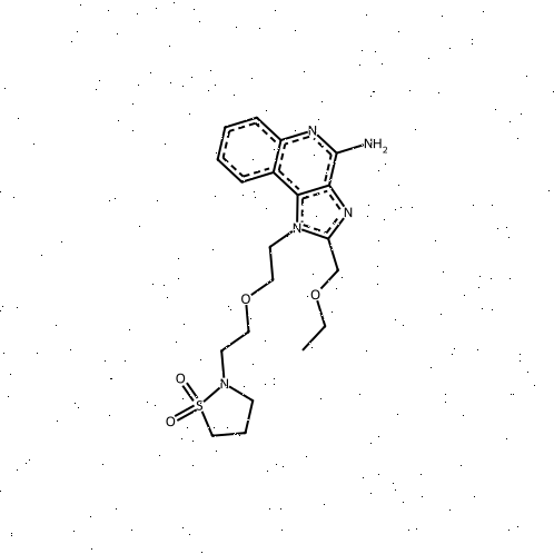 CCOCc1nc2c(N)nc3ccccc3c2n1CCOCCN1CCCS1(=O)=O